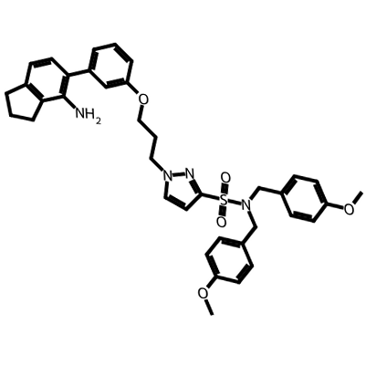 COc1ccc(CN(Cc2ccc(OC)cc2)S(=O)(=O)c2ccn(CCCOc3cccc(-c4ccc5c(c4N)CCC5)c3)n2)cc1